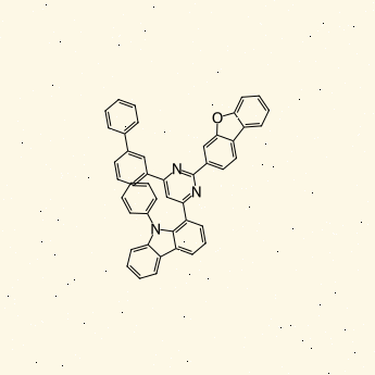 c1ccc(-c2cccc(-c3cc(-c4cccc5c6ccccc6n(-c6ccccc6)c45)nc(-c4ccc5c(c4)oc4ccccc45)n3)c2)cc1